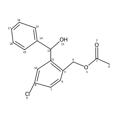 CC(=O)OCc1ccc(Cl)cc1C(O)c1ccccc1